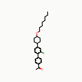 CCCCCCCCOC1CCC(c2ccc(-c3ccc(C(C)=O)cc3)c(F)c2)CC1